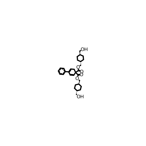 O=C(OC[C@H]1CC[C@H](CO)CC1)C1(C(=O)OC[C@H]2CC[C@H](CO)CC2)C=CC(c2ccccc2)=CC1